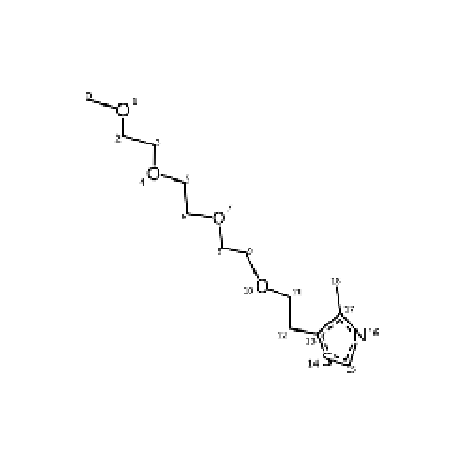 COCCOCCOCCOCCc1scnc1C